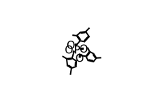 Cc1ccc(C(=O)P(=O)(C(=O)c2ccc(C)cc2C)C(=O)c2ccc(C)cc2C)c(C)c1